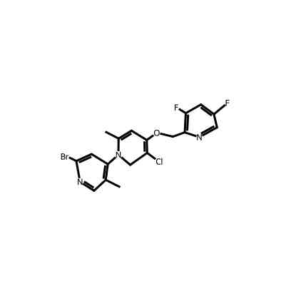 CC1=CC(OCc2ncc(F)cc2F)=C(Cl)CN1c1cc(Br)ncc1C